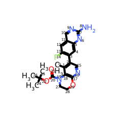 Cc1c(-c2cc3nc(N)ncc3cc2F)cnc2c1N(C(=O)OC(C)(C)C)CCO2